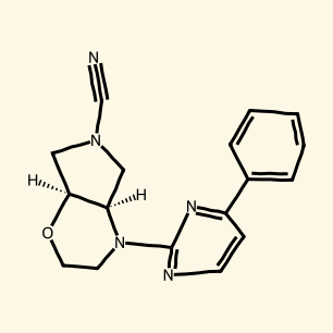 N#CN1C[C@@H]2OCCN(c3nccc(-c4ccccc4)n3)[C@@H]2C1